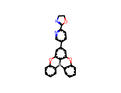 c1ccc2c(c1)Oc1cc(-c3ccc(C4=NCCO4)nc3)cc3c1B2c1ccccc1O3